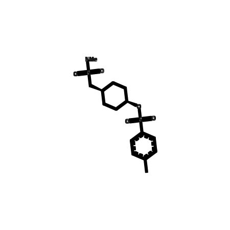 CNS(=O)(=O)C[C@H]1CC[C@@H](OS(=O)(=O)c2ccc(C)cc2)CC1